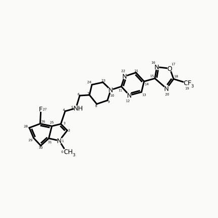 Cn1cc(CNCC2CCN(c3ncc(-c4noc(C(F)(F)F)n4)cn3)CC2)c2c(F)cccc21